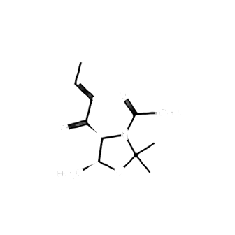 CC=CC(=O)[C@@H]1[C@H](C(=O)O)OC(C)(C)N1C(=O)CCCCC